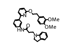 COc1ccc(CCOc2cccc(-c3cccc(NC(=O)CCN4CCc5ccccc54)c3)n2)cc1OC